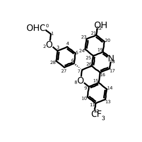 O=CCOc1ccc([C@H]2Oc3cc(C(F)(F)F)ccc3-c3cnc4cc(O)ccc4c32)cc1